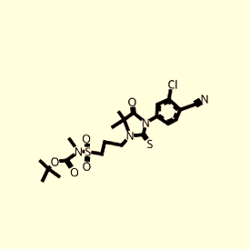 CN(C(=O)OC(C)(C)C)S(=O)(=O)CCCN1C(=S)N(c2ccc(C#N)c(Cl)c2)C(=O)C1(C)C